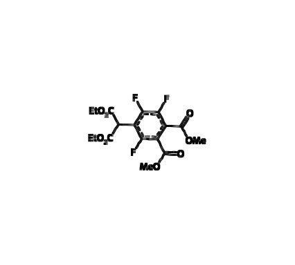 CCOC(=O)C(C(=O)OCC)c1c(F)c(F)c(C(=O)OC)c(C(=O)OC)c1F